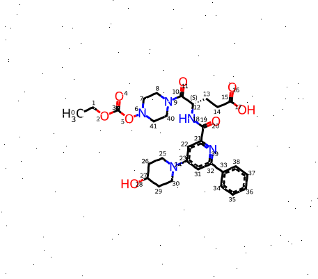 CCOC(=O)ON1CCN(C(=O)[C@H](CCC(=O)O)NC(=O)c2cc(N3CCC(O)CC3)cc(-c3ccccc3)n2)CC1